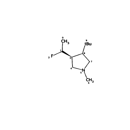 CC(F)[C@@H]1CN(C)CC1C(C)(C)C